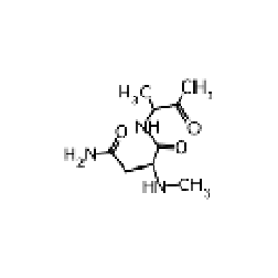 CNC(CC(N)=O)C(=O)NC(C)C(C)=O